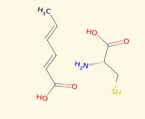 C/C=C/C=C/C(=O)O.N[C@@H](CS)C(=O)O